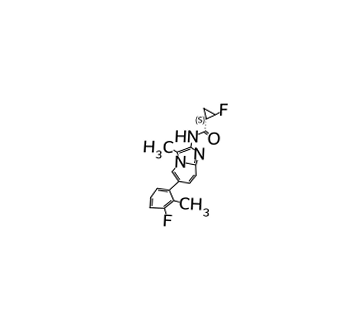 Cc1c(F)cccc1-c1ccc2nc(NC(=O)[C@@H]3CC3F)c(C)n2c1